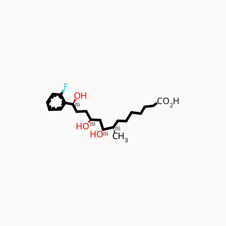 C[C@@H](CCCCCCC(=O)O)[C@@H](O)C[C@@H](O)CC[C@H](O)c1ccccc1F